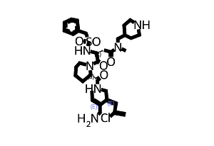 C=C(Cl)/C=C(CNC(=O)[C@@H]1CCCCN1C(=O)[C@@H](CC(=O)N(C)CC1CCNCC1)NS(=O)(=O)Cc1ccccc1)\C(=C/C)CN